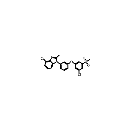 Cc1nc2c(Cl)cccc2n1-c1cccc(Oc2cc(Cl)cc(S(C)(=O)=O)c2)c1